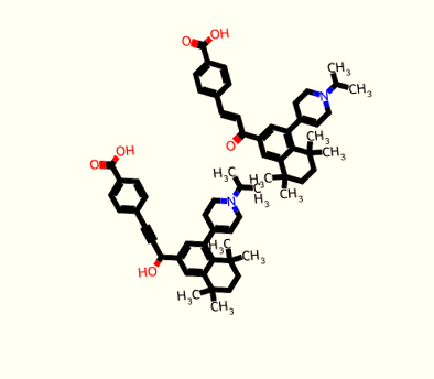 CC(C)N1CC=C(c2cc(C(=O)C=Cc3ccc(C(=O)O)cc3)cc3c2C(C)(C)CCC3(C)C)CC1.CC(C)N1CC=C(c2cc(C(O)C#Cc3ccc(C(=O)O)cc3)cc3c2C(C)(C)CCC3(C)C)CC1